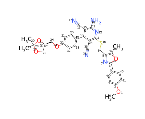 COc1ccc(-c2nc(CSc3nc(N)c(C#N)c(-c4ccc(OC[C@H]5COC(C)(C)O5)cc4)c3C#N)c(C)o2)cc1